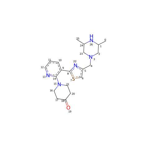 CC1CN(Cc2csc(-c3cccnc3N3CCC(=O)CC3)n2)CC(C)N1